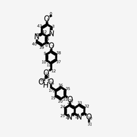 COc1cnc2c(Oc3ccc(CO[PH](=O)OCc4ccc(Oc5ccnc6nc(OC)ccc56)cc4)cc3)ccnc2c1